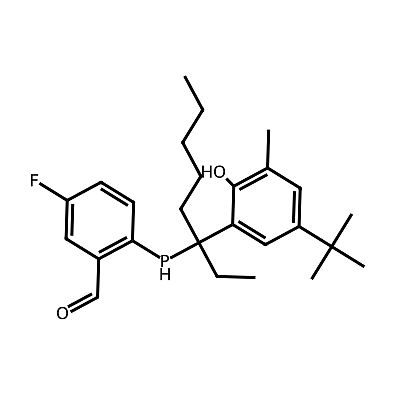 CCCCCC(CC)(Pc1ccc(F)cc1C=O)c1cc(C(C)(C)C)cc(C)c1O